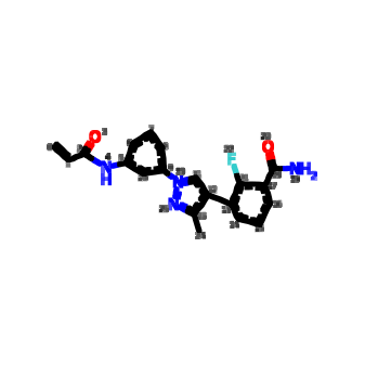 C=CC(=O)Nc1cccc(-n2cc(-c3cccc(C(N)=O)c3F)c(C)n2)c1